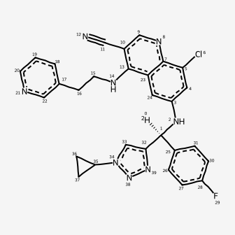 [2H][C@](Nc1cc(Cl)c2ncc(C#N)c(NCCc3cccnc3)c2c1)(c1ccc(F)cc1)c1cn(C2CC2)nn1